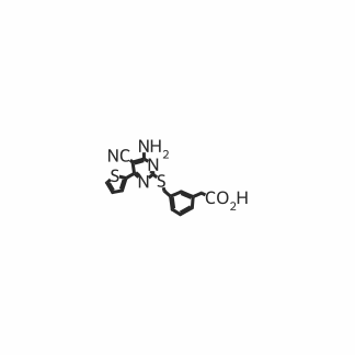 N#Cc1c(N)nc(SCc2cccc(CC(=O)O)c2)nc1-c1cccs1